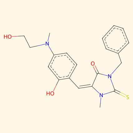 CN1C(=S)N(Cc2ccccc2)C(=O)C1=Cc1ccc(N(C)CCO)cc1O